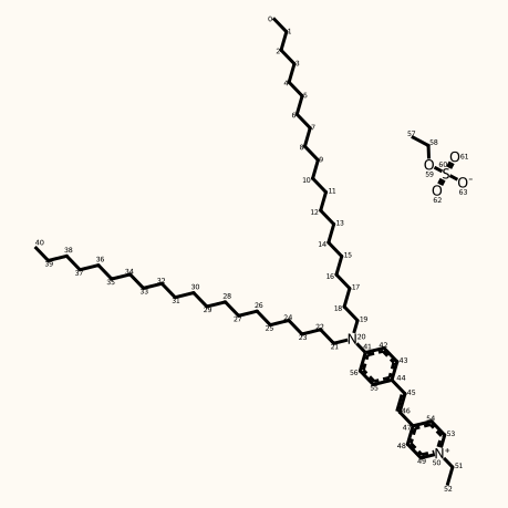 CCCCCCCCCCCCCCCCCCCCN(CCCCCCCCCCCCCCCCCCCC)c1ccc(C=Cc2cc[n+](CC)cc2)cc1.CCOS(=O)(=O)[O-]